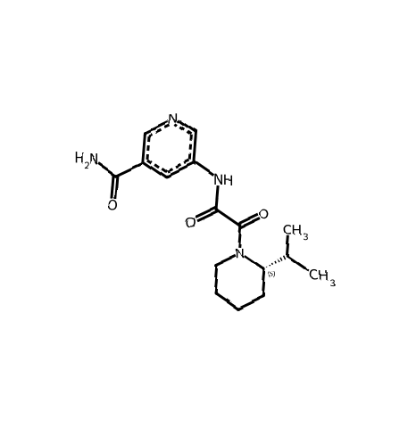 CC(C)[C@@H]1CCCCN1C(=O)C(=O)Nc1cncc(C(N)=O)c1